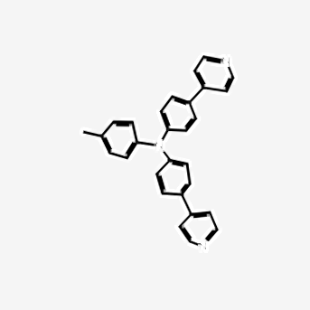 Cc1ccc(N(c2ccc(-c3ccncc3)cc2)c2ccc(-c3ccncc3)cc2)cc1